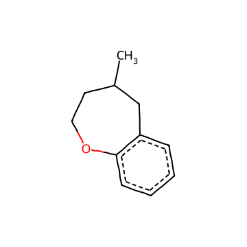 CC1CCOc2ccccc2C1